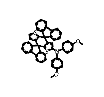 COc1ccc(N(c2ccc(OC)cc2)c2cc3c(s2)C2(c4ccccc4-c4ccccc42)c2ccsc2C32c3ccccc3-c3ccccc32)cc1